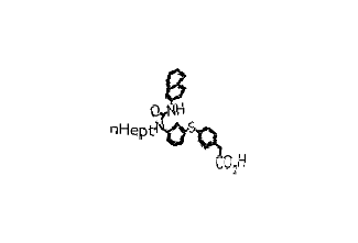 CCCCCCCN(C(=O)Nc1ccc2ccccc2c1)c1cccc(Sc2ccc(CC(=O)O)cc2)c1